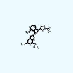 COc1cc(C)cc2cc(-c3nn(C4CCN(C(=O)O)C4)c4ncnc(N)c34)sc12